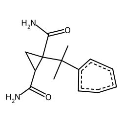 CC(C)(c1ccccc1)C1(C(N)=O)CC1C(N)=O